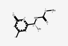 CCC[C@@H](NC(=O)OC(C)(C)C)c1cc(C)cc(=O)o1